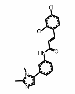 Cc1ncc(-c2cccc(NC(=O)C=Cc3ccc(Cl)cc3Cl)c2)n1C